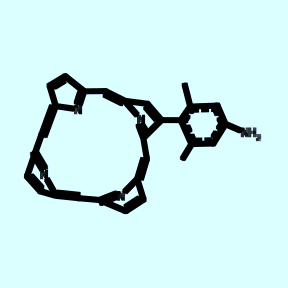 Cc1cc(N)cc(C)c1C1=CC2=CC3=NC(=CC4=NC(=CC5=NC(=CC1=N2)C=C5)C=C4)C=C3